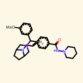 C=CCN1C2CCC1CN(C(c1ccc(C(=O)NN3CCCCC3)cc1)c1cccc(OC)c1)C2